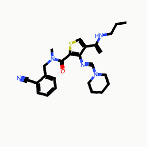 C=C(NCCC)c1csc(C(=O)N(C)Cc2ccccc2C#N)c1/N=C/N1CCCCC1